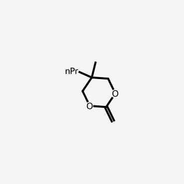 C=C1OCC(C)(CCC)CO1